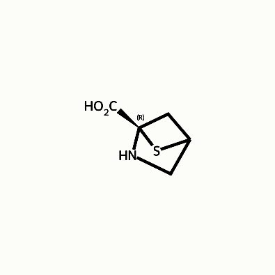 O=C(O)[C@]12CC(CN1)S2